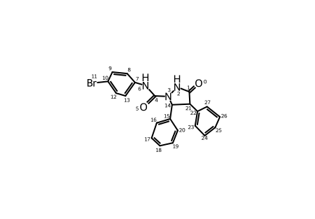 O=C1NN(C(=O)Nc2ccc(Br)cc2)C(c2ccccc2)C1c1ccccc1